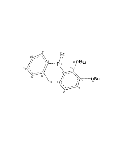 CCCCc1cccc(P(CC)c2ccccc2C)c1CCCC